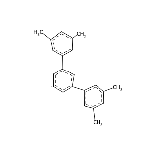 Cc1cc(C)cc(-c2c[c]cc(-c3cc(C)cc(C)c3)c2)c1